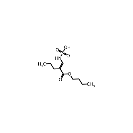 CCCCOC(=O)C(=CNS(=O)(=O)O)CCC